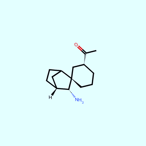 CC(=O)[C@@H]1CCC[C@]2(C1)C1CC[C@H](C1)[C@H]2N